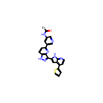 CCC(=O)Nc1cncc(-c2ccc3[nH]nc(-c4cc5c(-c6cccs6)ccnc5[nH]4)c3n2)c1